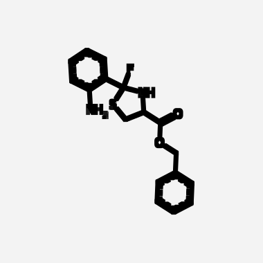 Nc1ccccc1C1(F)NC(C(=O)OCc2ccccc2)CS1